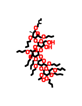 CCCCOCC1O[C@@H](OCCCC)[C@@H](C)C(OCCCC)[C@@H]1O[C@@H]1OC(CO)[C@@H](O)C(O[C@@H]2OC(COCCCC)[C@H](OCCCC)C(OCCCC)[C@@H]2O[C@@H]2OC(COCCCC)[C@@H](O[C@@H]3OC(COCCCC)[C@H](OCCCC)C(OCCCC)C3OC(C)=O)C(OCCCC)[C@@H]2C)C1OCCCC